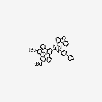 CC(C)(C)c1ccc2c(c1)c1cc(C(C)(C)C)ccc1n2-c1c(-c2ccccc2)cc(-c2nc(-c3ccc(-c4ccccc4)cc3)nc(-c3cccc4oc5ccccc5c34)n2)cc1-c1ccccc1